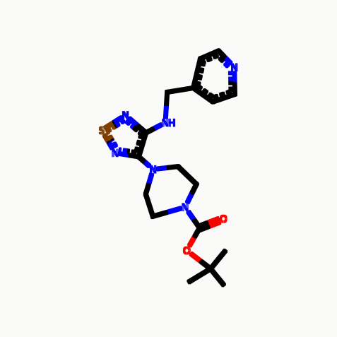 CC(C)(C)OC(=O)N1CCN(c2nsnc2NCc2ccncc2)CC1